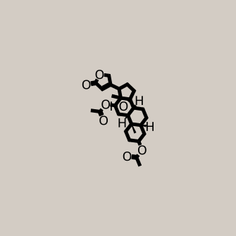 CC(=O)OC1CC[C@@]2(C)[C@H](CC[C@@H]3[C@@H]2CC(OC(C)=O)C2(C)C(C4=CC(=O)OC4)CCC32O)C1